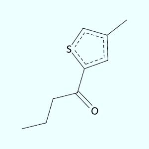 CCCC(=O)c1cc(C)cs1